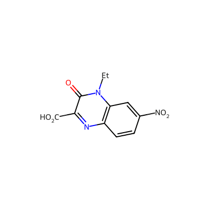 CCn1c(=O)c(C(=O)O)nc2ccc([N+](=O)[O-])cc21